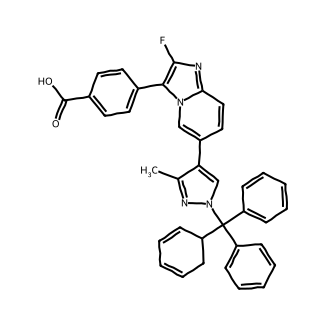 Cc1nn(C(c2ccccc2)(c2ccccc2)C2C=CC=CC2)cc1-c1ccc2nc(F)c(-c3ccc(C(=O)O)cc3)n2c1